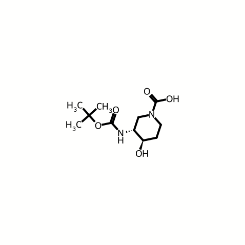 CC(C)(C)OC(=O)N[C@@H]1CN(C(=O)O)CC[C@H]1O